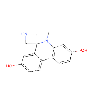 CN1c2cc(O)ccc2-c2ccc(O)cc2C12CNC2